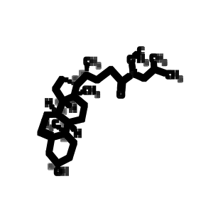 CON(CC(C)C)C(=O)CC[C@@H](C)[C@H]1CC[C@H]2[C@@H]3CC=C4C[C@@H](O)CC[C@]4(C)[C@H]3CC[C@]12C